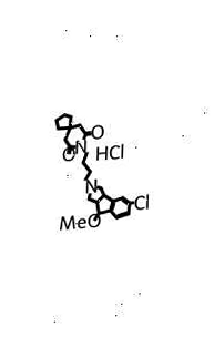 COC1c2ccc(Cl)cc2C2CN(CCCCN3C(=O)CC4(CCCC4)CC3=O)CC21.Cl